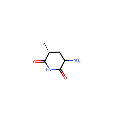 C[C@@H]1CC(N)C(=O)NC1=O